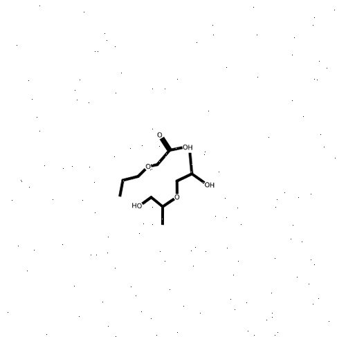 CC(O)COC(C)CO.CCCOCC(=O)O